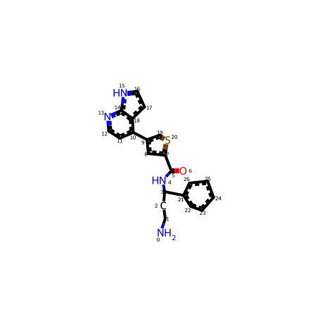 NCCC(NC(=O)c1cc(-c2ccnc3[nH]ccc23)cs1)c1ccccc1